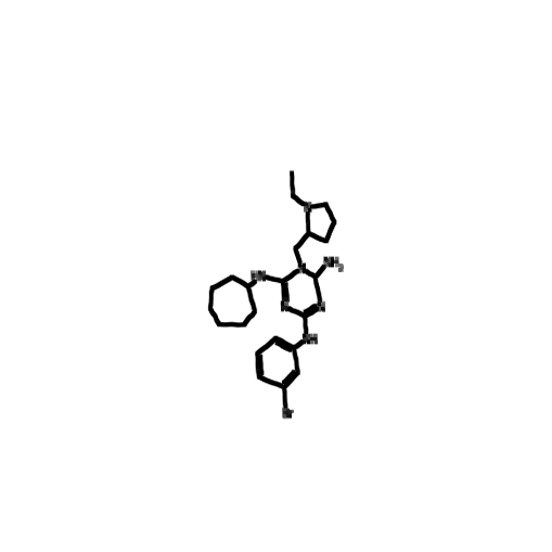 CCN1CCCC1CN1C(NC2CCCCCC2)=NC(Nc2cccc(Br)c2)=NC1N